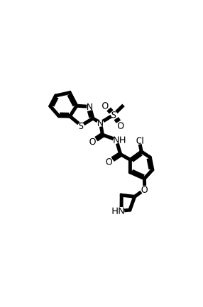 CS(=O)(=O)N(C(=O)NC(=O)c1cc(OC2CNC2)ccc1Cl)c1nc2ccccc2s1